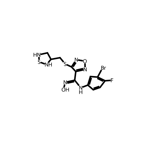 O/N=C(\Nc1ccc(F)c(Br)c1)c1nonc1SCC1CNSN1